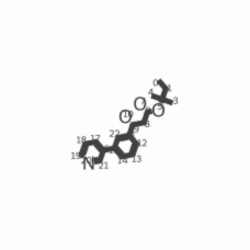 CCC(C)(C)OC(=O)CC(=O)c1cccc(-c2cccnc2)c1